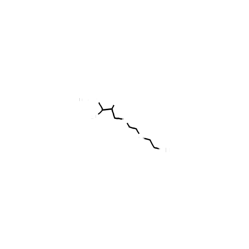 CCCCCC(CC)C(O)COCCOCCO